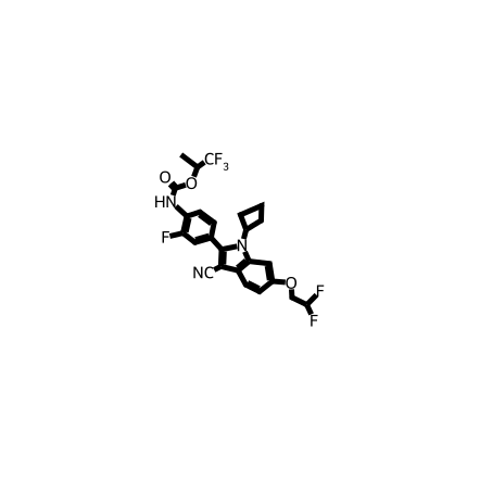 CC(OC(=O)Nc1ccc(-c2c(C#N)c3ccc(OCC(F)F)cc3n2C2CCC2)cc1F)C(F)(F)F